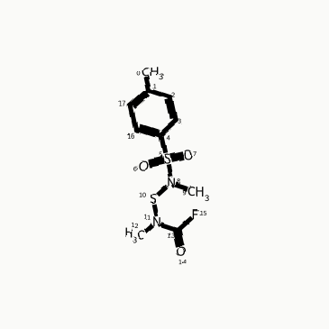 Cc1ccc(S(=O)(=O)N(C)SN(C)C(=O)F)cc1